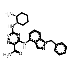 NC(=O)c1nnc(N[C@@H]2CCCC[C@@H]2N)nc1Nc1cccc2c1cnn2Cc1ccccc1